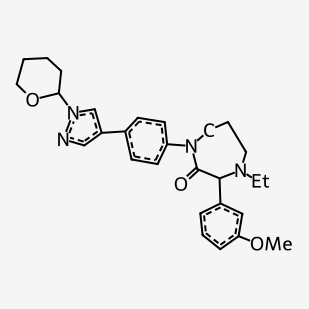 [CH2]CN1CCCN(c2ccc(-c3cnn(C4CCCCO4)c3)cc2)C(=O)C1c1cccc(OC)c1